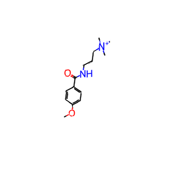 COc1ccc(C(=O)NCCC[N+](C)(C)C)cc1